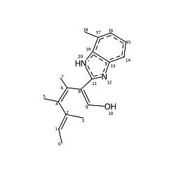 C/C=C(C)/C(C)=C(C)\C(=C\O)c1nc2cccc(C)c2[nH]1